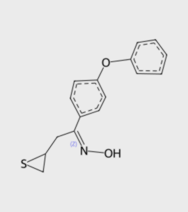 O/N=C(/CC1CS1)c1ccc(Oc2ccccc2)cc1